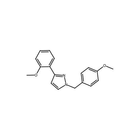 COc1ccc(Cn2ccc(-c3ccccc3OC)n2)cc1